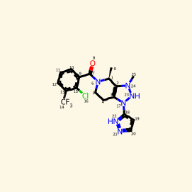 C[C@H]1C2=C(CCN1C(=O)c1cccc(C(F)(F)F)c1Cl)N(c1ccn[nH]1)NN2C